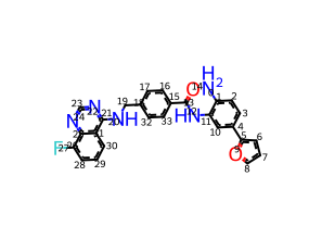 Nc1ccc(-c2ccco2)cc1NC(=O)c1ccc(CNc2ncnc3c(F)cccc23)cc1